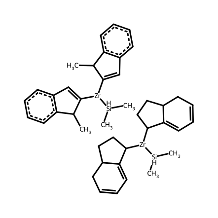 CC1[C]([Zr]([C]2=Cc3ccccc3C2C)[SiH](C)C)=Cc2ccccc21.C[SiH](C)[Zr]([CH]1CCC2CC=CC=C21)[CH]1CCC2CC=CC=C21